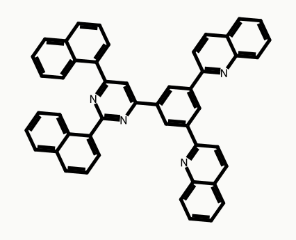 c1ccc2nc(-c3cc(-c4cc(-c5cccc6ccccc56)nc(-c5cccc6ccccc56)n4)cc(-c4ccc5ccccc5n4)c3)ccc2c1